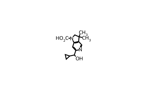 CC1(C)CN(C(=O)O)c2cc(C(O)C3CC3)ncc21